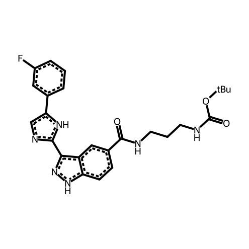 CC(C)(C)OC(=O)NCCCNC(=O)c1ccc2[nH]nc(-c3ncc(-c4cccc(F)c4)[nH]3)c2c1